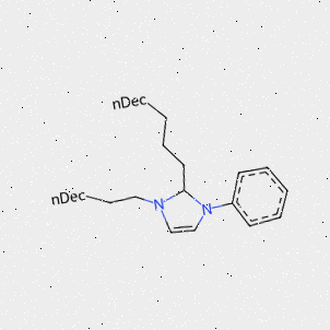 CCCCCCCCCCCCCC1N(CCCCCCCCCCCC)C=CN1c1ccccc1